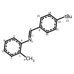 Cc1ccccc1/N=C/c1ccc(C(C)(C)C)cc1